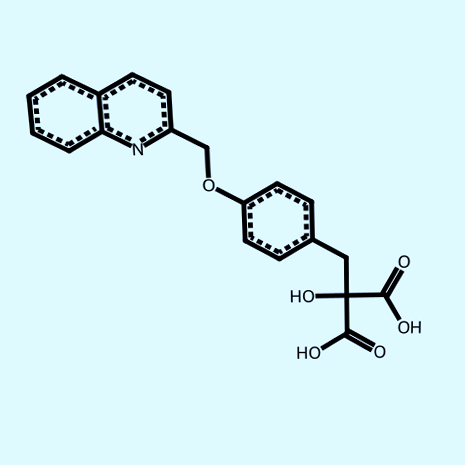 O=C(O)C(O)(Cc1ccc(OCc2ccc3ccccc3n2)cc1)C(=O)O